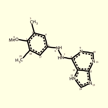 COc1c(C)cc(NNc2ncnc3nc[nH]c23)cc1C